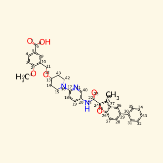 COc1ccc(C(=O)O)cc1COC1CCN(c2ccc(NC(=O)c3oc4ccc(-c5ccccc5)cc4c3C)cn2)CC1